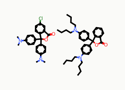 CCCCN(CCCC)c1ccc(C2(c3ccc(N(CCCC)CCCC)cc3)OC(=O)c3ccccc32)cc1.CN(C)c1ccc(C2(c3ccc(N(C)C)cc3)OC(=O)c3cc(Cl)ccc32)cc1